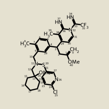 C=C(CC(c1ccc(C)c(CN(CC2(OC)CCCCC2)Sc2ccc(Cl)nc2)c1)c1ccn(C(=N)C(F)(F)F)c(=N)c1C)OC